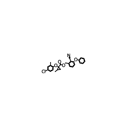 Cc1cc(Cl)ccc1OC1(C(=O)OCc2cccc(Oc3ccccc3)c2C#N)CC1C